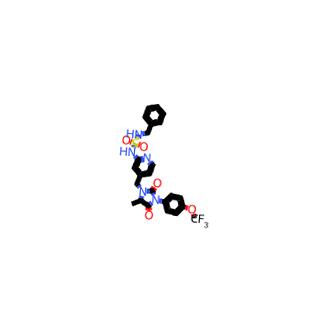 CC1C(=O)N(c2ccc(OC(F)(F)F)cc2)C(=O)N1Cc1ccnc(NS(=O)(=O)NCc2ccccc2)c1